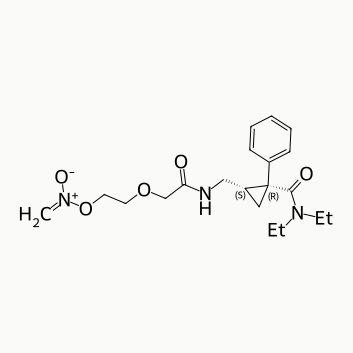 C=[N+]([O-])OCCOCC(=O)NC[C@H]1C[C@]1(C(=O)N(CC)CC)c1ccccc1